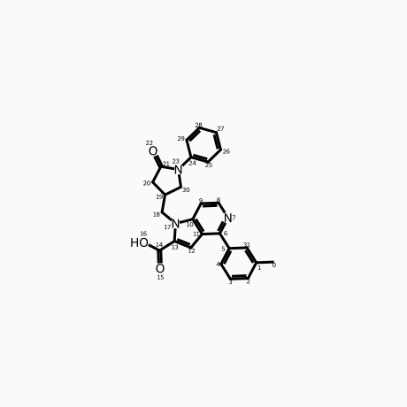 Cc1cccc(-c2nccc3c2cc(C(=O)O)n3CC2CC(=O)N(c3ccccc3)C2)c1